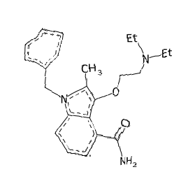 CCN(CC)CCOc1c(C)n(Cc2ccccc2)c2cc[c]c(C(N)=O)c12